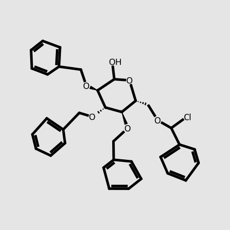 OC1O[C@H](COC(Cl)c2ccccc2)[C@@H](OCc2ccccc2)[C@H](OCc2ccccc2)[C@H]1OCc1ccccc1